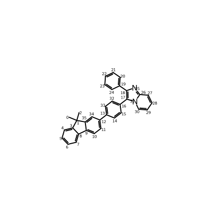 CC1(C)c2ccccc2-c2ccc(-c3ccc(-c4c(-c5ccccc5)nc5ccccn45)cc3)cc21